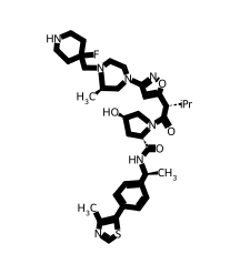 Cc1ncsc1-c1ccc([C@H](C)NC(=O)[C@@H]2C[C@@H](O)CN2C(=O)[C@H](c2cc(N3CCN(CC4(F)CCNCC4)[C@H](C)C3)no2)C(C)C)cc1